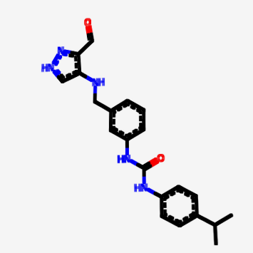 CC(C)c1ccc(NC(=O)Nc2cccc(CNc3c[nH]nc3C=O)c2)cc1